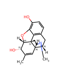 CC1=C[C@H]2[C@H]3Cc4ccc(O)c5c4[C@@]2(CCN3C)[C@@H](O5)[C@H]1O